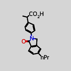 CCCc1ccc2c(c1)CN(c1ccc(C(C)C(=O)O)cc1)C2=O